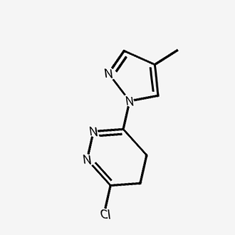 Cc1cnn(C2=NN=C(Cl)CC2)c1